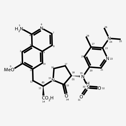 COc1cc2c(N)nccc2cc1C[C@H](C(=O)O)N1CC[C@H](N(c2cnc(N(C)C)c(C)c2)[SH](=O)=O)C1=O